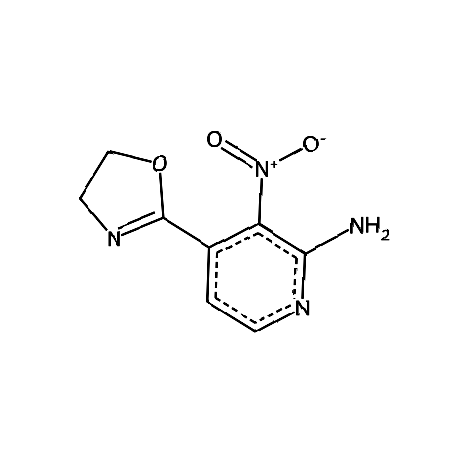 Nc1nccc(C2=NCCO2)c1[N+](=O)[O-]